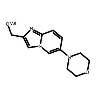 COCc1cn2cc(N3CCOCC3)ccc2n1